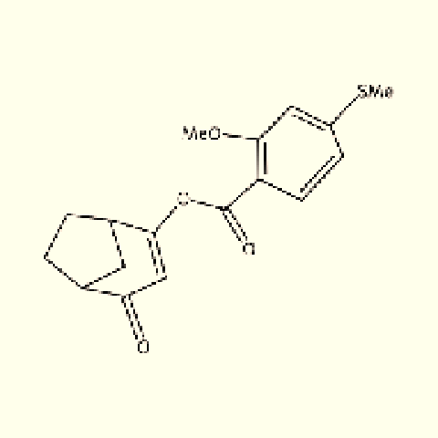 COc1cc(SC)ccc1C(=O)OC1=CC(=O)C2CCC1C2